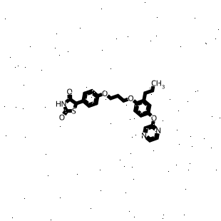 CCCc1cc(Oc2cnccn2)ccc1OCCCOc1ccc(C2SC(=O)NC2=O)cc1